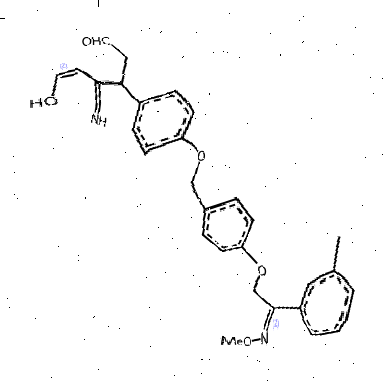 CO/N=C(\COc1ccc(COc2ccc(C(CC=O)C(=N)/C=C\O)cc2)cc1)c1cccc(C)c1